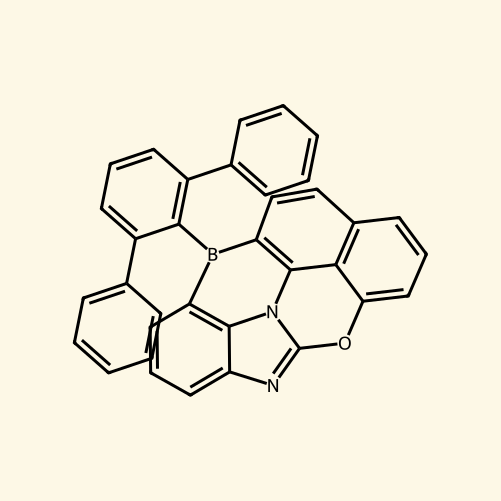 c1ccc(-c2cccc(-c3ccccc3)c2B2c3cccc4nc5oc6cccc7ccc2c(c76)n5c34)cc1